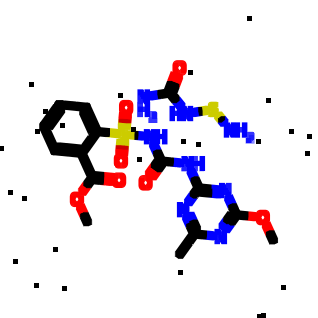 COC(=O)c1ccccc1S(=O)(=O)NC(=O)Nc1nc(C)nc(OC)n1.NSNC(N)=O